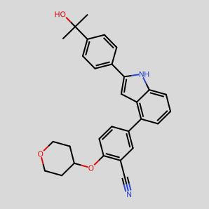 CC(C)(O)c1ccc(-c2cc3c(-c4ccc(OC5CCOCC5)c(C#N)c4)cccc3[nH]2)cc1